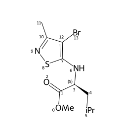 COC(=O)[C@H](CC(C)C)Nc1snc(C)c1Br